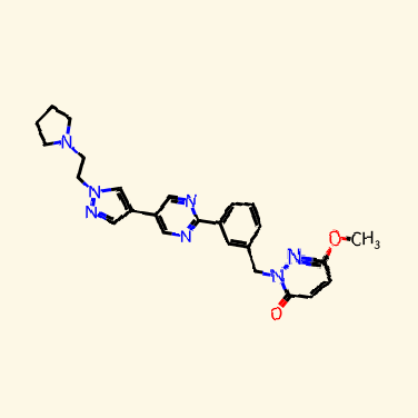 COc1ccc(=O)n(Cc2cccc(-c3ncc(-c4cnn(CCN5CCCC5)c4)cn3)c2)n1